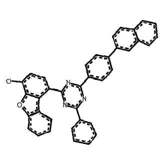 Clc1ccc(-c2nc(-c3ccccc3)nc(-c3ccc(-c4ccc5ccccc5c4)cc3)n2)c2c1oc1ccccc12